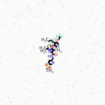 CCCC(F)(F)c1c(OCC(F)(F)F)cncc1Oc1c(C)c(C(=O)NCc2ccc(S(=O)(=O)CC)cn2)nn1C(C)(C)C